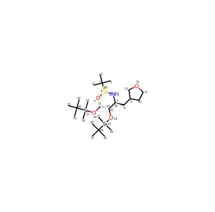 CC(C)(C)[S@+]([O-])N[C@@H](CC1CCOC1)[C@@H](CO[Si](C)(C)C(C)(C)C)O[Si](C)(C)C(C)(C)C